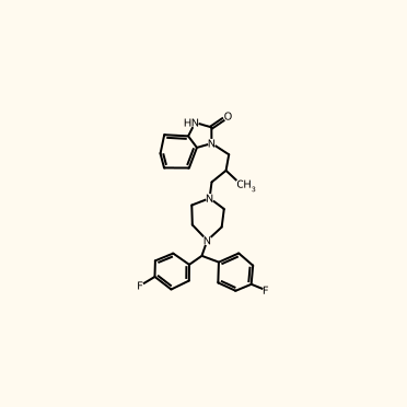 CC(CN1CCN(C(c2ccc(F)cc2)c2ccc(F)cc2)CC1)Cn1c(=O)[nH]c2ccccc21